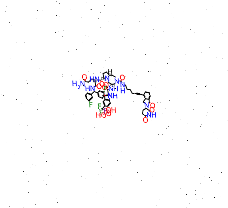 NC(=O)CC[C@H](NC(=O)[C@@H]1CC[C@@H]2CCN(C(=O)NCCCCC#Cc3cccc4c3CN(C3CCC(=O)NC3=O)C4=O)C[C@H](NC(=O)c3cc4cc(C(F)(F)P(=O)(O)O)ccc4[nH]3)C(=O)N21)C(=O)NC(c1cccc(F)c1)c1cccc(F)c1